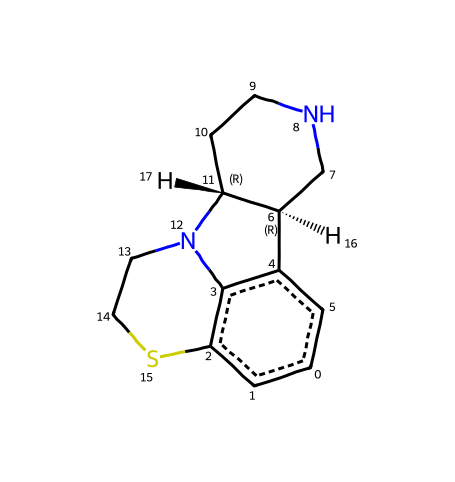 c1cc2c3c(c1)[C@@H]1CNCC[C@H]1N3CCS2